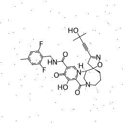 Cc1cc(F)c(CNC(=O)c2cn3c(c(O)c2=O)C(=O)N2C[C@@H]3[C@]3(CC[C@@H]2C)CC(C#CC(C)(C)O)=NO3)c(F)c1